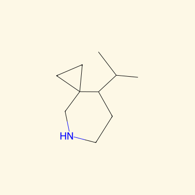 CC(C)C1CCNCC12CC2